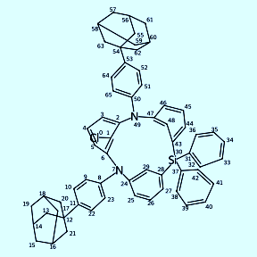 Clc1c2cccc1N(c1ccc(C34CC5CC(CC(C5)C3)C4)cc1)c1cccc(c1)[Si](c1ccccc1)(c1ccccc1)c1cccc(c1)N2c1ccc(C23CC4CC(CC(C4)C2)C3)cc1